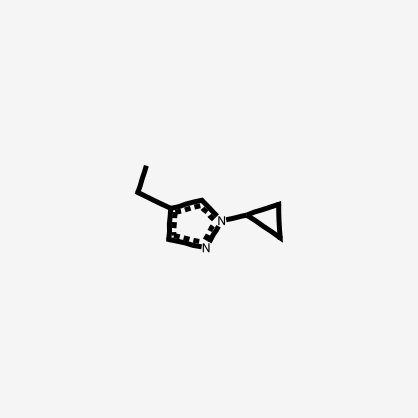 CCc1cnn(C2CC2)c1